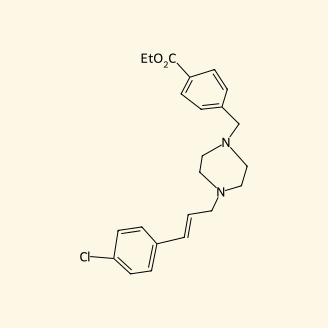 CCOC(=O)c1ccc(CN2CCN(CC=Cc3ccc(Cl)cc3)CC2)cc1